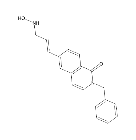 O=c1c2ccc(C=CCNO)cc2ccn1Cc1ccccc1